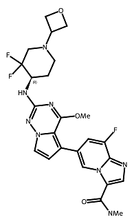 CNC(=O)c1cnc2c(F)cc(-c3ccn4nc(N[C@@H]5CCN(C6COC6)CC5(F)F)nc(OC)c34)cn12